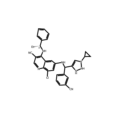 CC[C@@H](Nc1c(C#N)cnc2c(Cl)cc(NC(C3=CN(C4CC4)NN3)c3cccc(C#N)c3)cc12)c1ccccc1